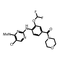 CNc1nc(Nc2ccc(C(=O)N3CCOCC3)cc2OC(F)F)ncc1Cl